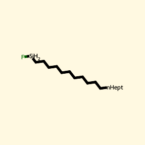 CCCCCCCCCCCCCCCCCC[SiH2]F